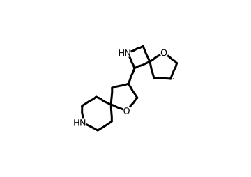 [CH]1COC2(C1)CNC2C1COC2(CCNCC2)C1